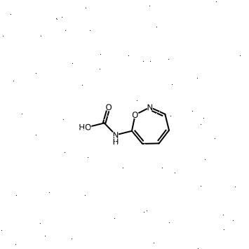 O=C(O)NC1=CC=CC=NO1